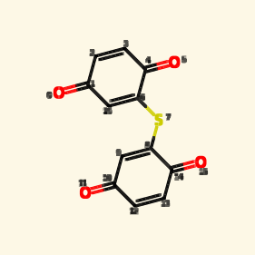 O=C1C=CC(=O)C(SC2=CC(=O)C=CC2=O)=C1